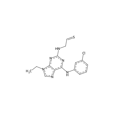 CCn1cnc2c(Nc3cccc(Cl)c3)nc(NCC=S)nc21